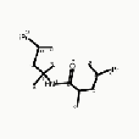 CC(CC(C)C(C)C)C(=O)NC(C)(C)CC(C)C(C)C